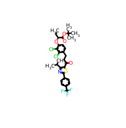 CCC(Oc1ccc(CCC(=O)c2sc(-c3ccc(C(F)(F)F)cc3)nc2C(C)C)c(Cl)c1Cl)C(=O)OC(C)(C)C